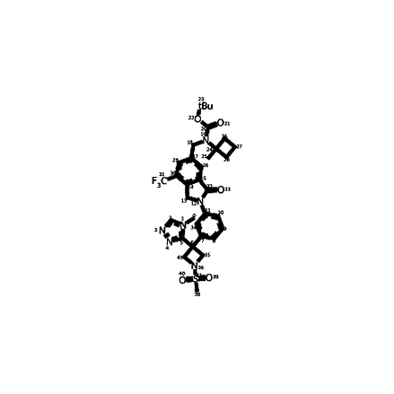 Cn1cnnc1C1(c2cccc(N3Cc4c(cc(CN(C(=O)OC(C)(C)C)C5(C)CCC5)cc4C(F)(F)F)C3=O)c2)CN(S(C)(=O)=O)C1